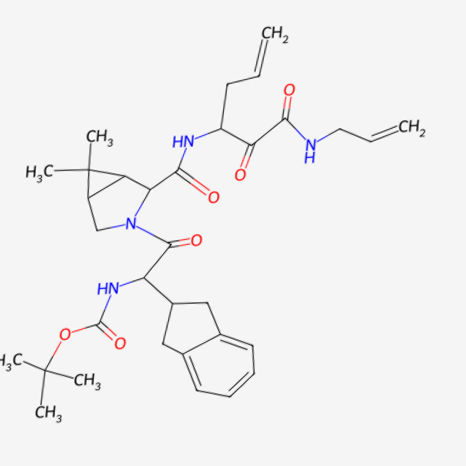 C=CCNC(=O)C(=O)C(CC=C)NC(=O)C1C2C(CN1C(=O)C(NC(=O)OC(C)(C)C)C1Cc3ccccc3C1)C2(C)C